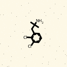 CC(C)(N)Cc1cccc(Cl)c1Cl